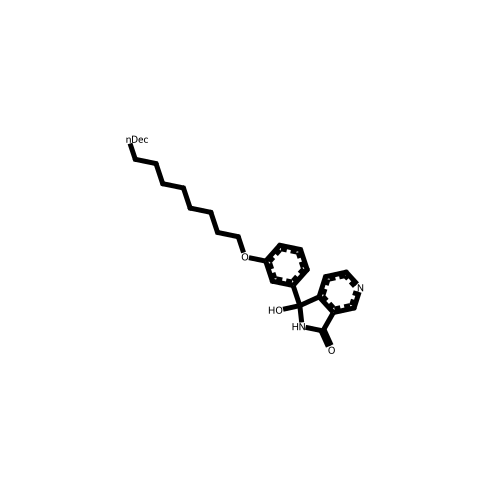 CCCCCCCCCCCCCCCCCCOc1cccc(C2(O)NC(=O)c3cnccc32)c1